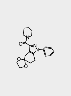 O=C(c1nn(-c2ccccc2)c2c1CC1(CC2)OCCO1)N1CCCCC1